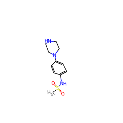 CS(=O)(=O)Nc1ccc(N2CCNCC2)cc1